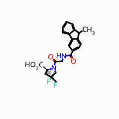 CC1c2ccccc2-c2cc(C(=O)NCC(=O)N3C[C@@](F)(CF)C[C@H]3C(=O)O)ccc21